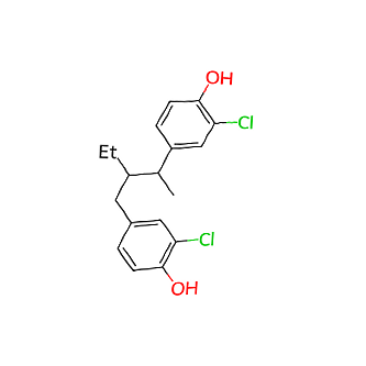 CCC(Cc1ccc(O)c(Cl)c1)C(C)c1ccc(O)c(Cl)c1